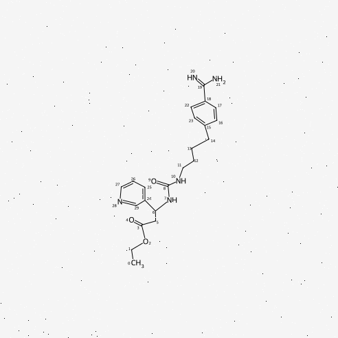 CCOC(=O)CC(NC(=O)NCCCCc1ccc(C(=N)N)cc1)c1cccnc1